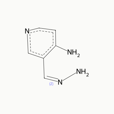 N/N=C\c1cnccc1N